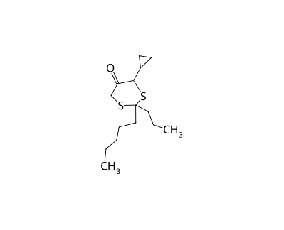 CCCCCC1(CCC)SCC(=O)C(C2CC2)S1